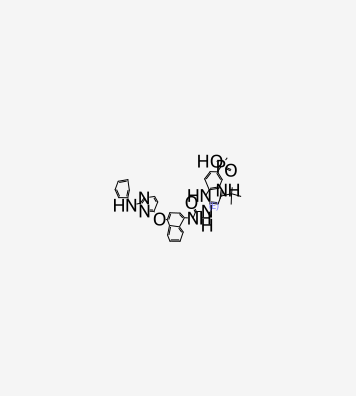 CC(C)(C)C(=N)/C=C(/NC(=O)Nc1ccc(Oc2ccnc(Nc3ccccc3)n2)c2ccccc12)Nc1ccc(P(C)(=O)O)cc1